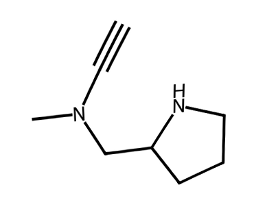 C#CN(C)CC1CCCN1